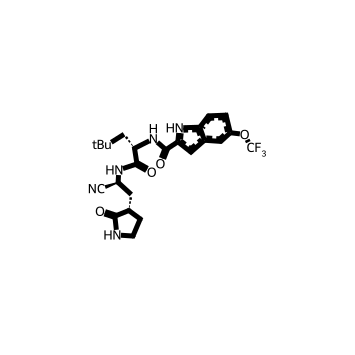 CC(C)(C)C[C@H](NC(=O)c1cc2cc(OC(F)(F)F)ccc2[nH]1)C(=O)N[C@H](C#N)C[C@@H]1CCNC1=O